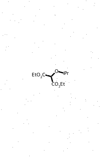 CCOC(=O)C(OC(C)C)C(=O)OCC